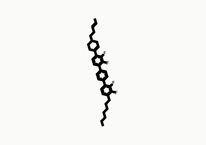 C/C=C/CCC1CC=C(c2ccc(-c3ccc(-c4ccc(CCCCCCC)c(F)c4F)cc3)c(F)c2F)CC1